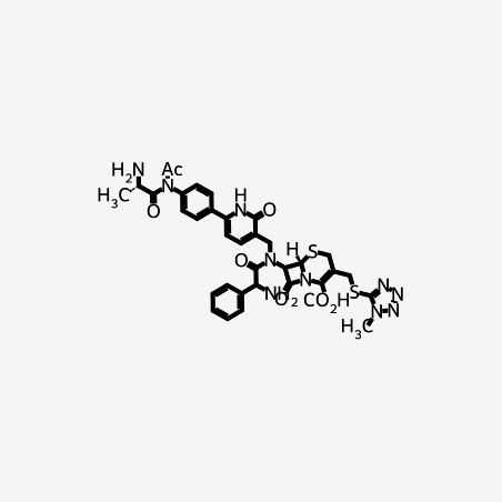 CC(=O)N(C(=O)[C@H](C)N)c1ccc(-c2ccc(CN(C(=O)C(N)c3ccccc3)C3C(=O)N4C(C(=O)O)=C(CSc5nnnn5C)CS[C@@H]34)c(=O)[nH]2)cc1